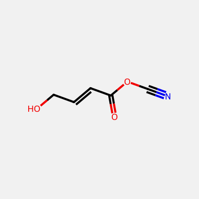 N#COC(=O)C=CCO